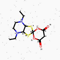 CCN1CCN(CC)C2SC3(OC(=O)CC(=O)O3)SC21